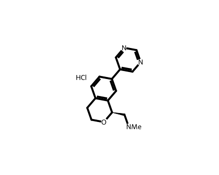 CNC[C@H]1OCCc2ccc(-c3cncnc3)cc21.Cl